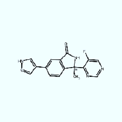 C[C@]1(c2ncncc2F)NC(=O)c2cc(-c3cn[nH]c3)ccc21